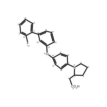 O=C(O)CC1CCCN1c1ccc(Oc2cccc(-c3ccccc3F)c2)cc1